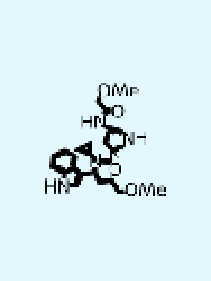 COCCCC(c1c[nH]c2ccccc12)N(C(=O)[C@@H]1CNC[C@H](NC(=O)COC)C1)C1CC1